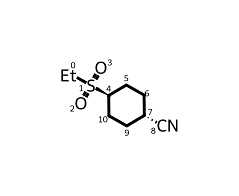 CCS(=O)(=O)[C@H]1CC[C@H](C#N)CC1